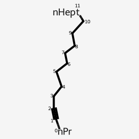 [CH2]CCC#CCCCCCCCCCCCCCCC